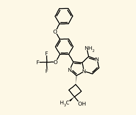 C[C@]1(O)C[C@@H](c2nc(-c3ccc(Oc4ccccc4)cc3OC(F)(F)F)c3c(N)nccn32)C1